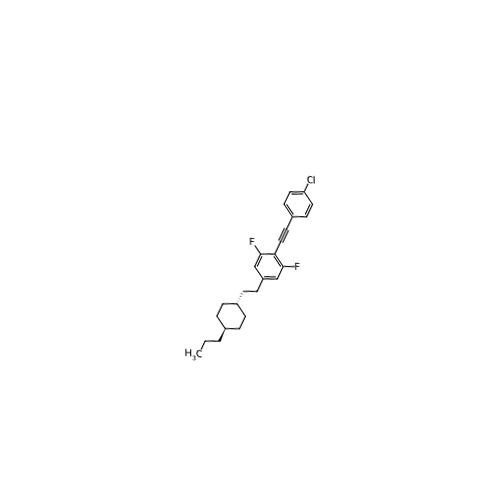 CCC[C@H]1CC[C@H](CCc2cc(F)c(C#Cc3ccc(Cl)cc3)c(F)c2)CC1